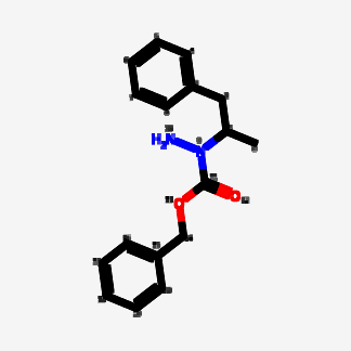 CC(Cc1ccccc1)N(N)C(=O)OCc1ccccc1